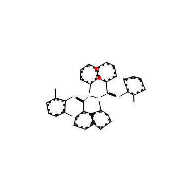 CC(C)c1cccc(C(C)C)c1/N=C(\c1ccccc1)N(c1ccccc1)N(/C(=N/c1c(C(C)C)cccc1C(C)C)c1ccccc1)c1ccccc1